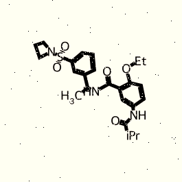 CCOc1ccc(NC(=O)C(C)C)cc1C(=O)NC(C)c1cccc(S(=O)(=O)N2CCC2)c1